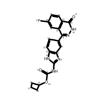 O=C(Nc1nc2cc(-c3n[nH]c(=O)c4ccc(F)cc34)ccc2[nH]1)OC1CCC1